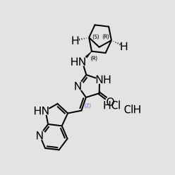 Cl.Cl.O=C1NC(N[C@@H]2C[C@@H]3CC[C@H]2C3)=N/C1=C\c1c[nH]c2ncccc12